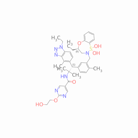 CC[C@@H]1CN(Cc2cc([C@@H](c3ccc4c(nnn4CC)c3C)C(C)(C)NC(=O)c3cnc(OCCO)nc3)ccc2C)S(O)(O)c2ccccc2O1